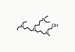 CCN(CC)CCCN(CCCN(C)CCO)CCCN(CC)CC